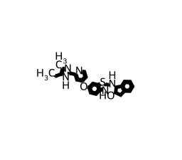 CCc1[nH]c(-c2cc(Oc3ccc4nc(N[C@@H]5c6ccccc6C[C@@H]5O)sc4c3)ccn2)nc1C